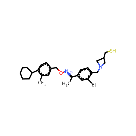 CCc1cc(/C(C)=N/OCc2ccc(C3CCCCC3)c(C(F)(F)F)c2)ccc1CN1CC(CS)C1